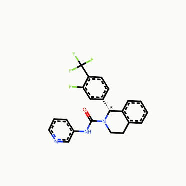 O=C(Nc1cccnc1)N1CCc2ccccc2[C@H]1c1ccc(C(F)(F)F)c(F)c1